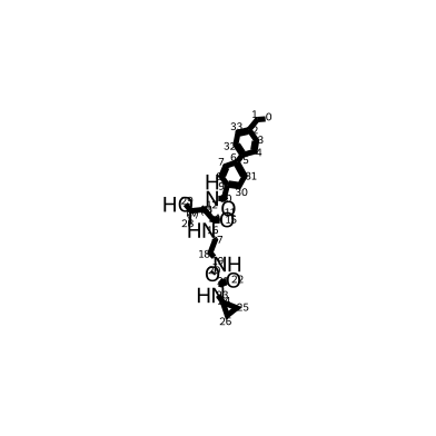 CCc1ccc(-c2ccc(C(=O)N[C@H](C(=O)NCCNOC(=O)NC3CC3)[C@@H](C)O)cc2)cc1